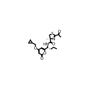 CCC[C@@H](NC(=O)[C@@]1(C)CSC(C(C)=O)=N1)c1cc(OCC2CC2)cc(=O)o1